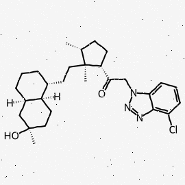 C[C@@H]1CC[C@H](C(=O)Cn2nnc3c(Cl)cccc32)[C@@]1(C)CC[C@H]1CCC[C@@H]2C[C@](C)(O)CC[C@H]12